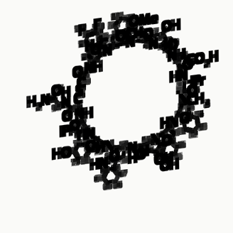 COCC[C@H]1C(=O)N2C[C@@H](O)C[C@@H]2C(=O)N[C@@H](CC(=O)O)C(=O)N[C@@H](C(C)C)C(=O)N(C)[C@H](Cc2ccccc2)C(=O)N[C@@H](Cc2ccc(O)cc2)C(=O)N2C[C@@H](O)C[C@@H]2C(=O)N[C@@H](Cc2c[nH]c3ccccc23)C(=O)N[C@@H](Cc2ccc(O)cc2)C(=O)N[C@@H](CC(C)C)C(=O)N[C@H](C(=O)NCC(N)=O)CSCC(=O)N[C@@H](Cc2ccc(F)c(F)c2)C(=O)N(C)C(Cc2ccccc2)C(=O)N1C